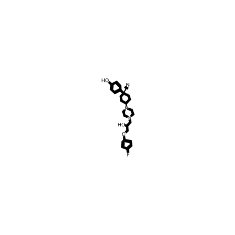 N#C[C@]1(c2ccc(O)cc2)CC[C@H](N2CCN(CC(O)COc3ccc(F)cc3)CC2)CC1